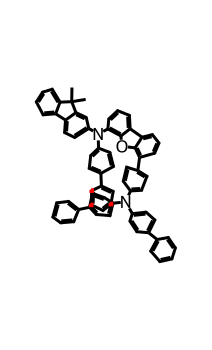 CC1(C)c2ccccc2-c2ccc(N(c3ccc(-c4ccccc4)cc3)c3cccc4c3oc3c(-c5ccc(N(c6ccc(-c7ccccc7)cc6)c6ccc(-c7ccccc7)cc6)cc5)cccc34)cc21